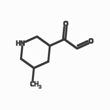 CC1CNCC(C(=O)C=O)C1